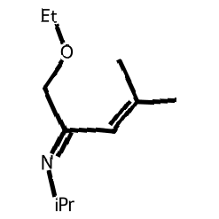 CCOC/C(C=C(C)C)=N/C(C)C